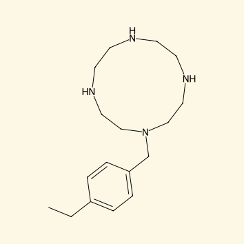 CCc1ccc(CN2CCNCCNCCNCC2)cc1